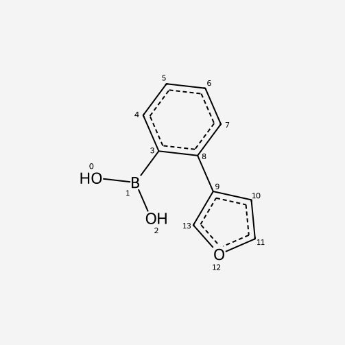 OB(O)c1ccccc1-c1ccoc1